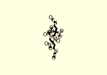 O=C=NCCC(CN(CC(CCN=C=O)([N+](=O)[O-])[N+](=O)[O-])[N+](=O)[O-])([N+](=O)[O-])[N+](=O)[O-]